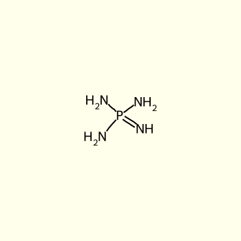 N=P(N)(N)N